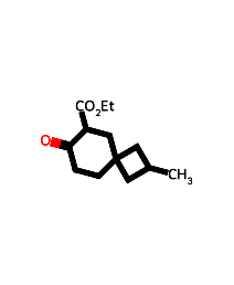 CCOC(=O)C1CC2(CCC1=O)CC(C)C2